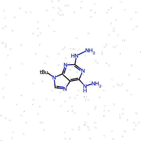 CC(C)(C)n1cnc2c(NN)nc(NN)nc21